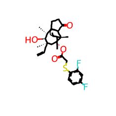 C=C[C@]1(C)C[C@@H](OC(=O)CSc2ccc(F)cc2F)[C@]2(C)C(C)CCC3(CCC(=O)C32)[C@@H](C)[C@@H]1O